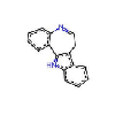 C1=Nc2ccccc2-c2[nH]c3ccccc3c2C1